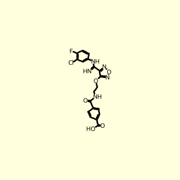 N=C(Nc1ccc(F)c(Cl)c1)c1nonc1OCCNC(=O)c1ccc(C(=O)O)cc1